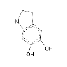 Oc1cc2c(cc1O)[N]CC2